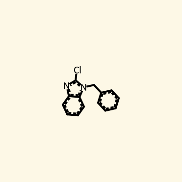 Clc1nc2ccccc2n1Cc1ccccc1